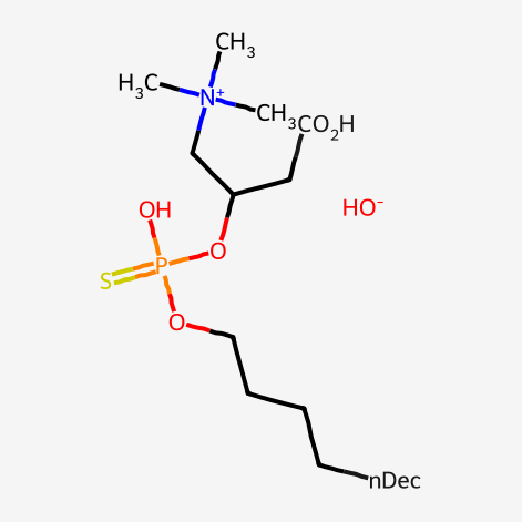 CCCCCCCCCCCCCCOP(O)(=S)OC(CC(=O)O)C[N+](C)(C)C.[OH-]